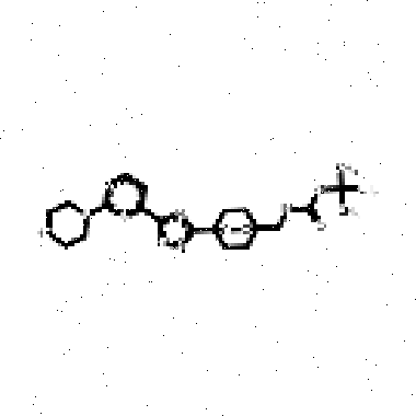 CC(C)(C)OC(=O)NCC12CCC(c3noc(-c4ccnc(N5CCNCC5)n4)n3)(CC1)CC2